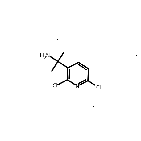 CC(C)(N)c1ccc(Cl)nc1Cl